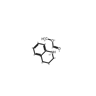 COC=O.c1ccc2c(c1)CCCN2